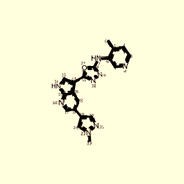 Cc1ccncc1Nc1nnc(-c2c[nH]c3ncc(-c4cnn(C)c4)cc23)o1